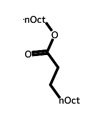 CCCCCCC[CH]OC(=O)CCCCCCCCCC